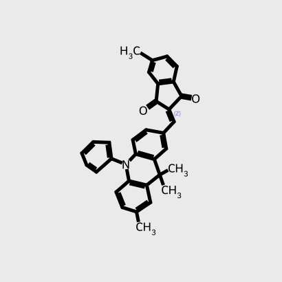 Cc1ccc2c(c1)C(=O)/C(=C\c1ccc3c(c1)C(C)(C)c1cc(C)ccc1N3c1ccccc1)C2=O